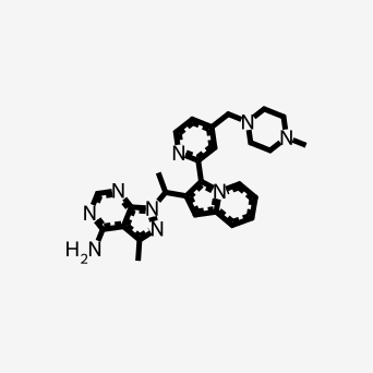 Cc1nn(C(C)c2cc3ccccn3c2-c2cc(CN3CCN(C)CC3)ccn2)c2ncnc(N)c12